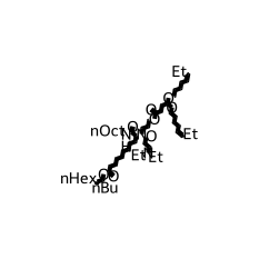 CC/C=C\CCCCOC(CCC(=O)OCCCN(C(=O)CCN(CC)CC)C(CCCCCCCCC(=O)OCC(CCCC)CCCCCC)C(=O)NCCCCCCCC)OCCCC/C=C\CC